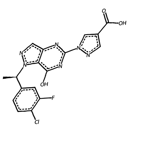 C[C@H](c1ccc(Cl)c(F)c1)n1ncc2nc(-n3cc(C(=O)O)cn3)nc(O)c21